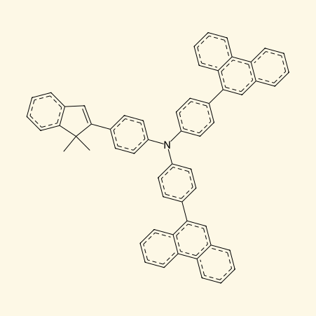 CC1(C)C(c2ccc(N(c3ccc(-c4cc5ccccc5c5ccccc45)cc3)c3ccc(-c4cc5ccccc5c5ccccc45)cc3)cc2)=Cc2ccccc21